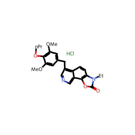 CCCOc1c(OC)cc(Cc2cncc3c2ccc2c3oc(=O)n2CC)cc1OC.Cl